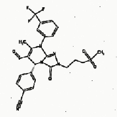 CC1=C([C]=O)[C@@H](c2ccc(C#N)cc2)n2c(nn(CCCS(C)(=O)=O)c2=O)N1c1cccc(C(F)(F)F)c1